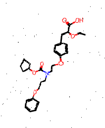 CCOC(Cc1ccc(OCCN(CCCOc2ccccc2)C(=O)OC2CCCC2)cc1)C(=O)O